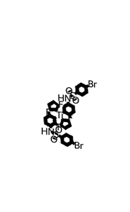 O=S(=O)(Nc1ccc(F)[c]([Ti]([C]2=CC=CC2)([C]2=CC=CC2)[c]2c(F)ccc(NS(=O)(=O)c3ccc(Br)cc3)c2F)c1F)c1ccc(Br)cc1